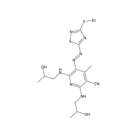 CCSc1nsc(N=Nc2c(NCC(C)O)nc(NCC(C)O)c(C#N)c2C)n1